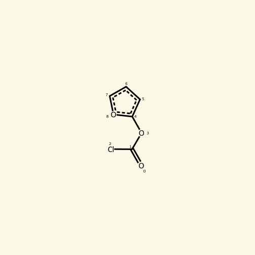 O=C(Cl)Oc1ccco1